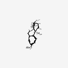 COc1ccc2c(c1)CC[C@]13CNC[C@H]1CC[C@@H]23